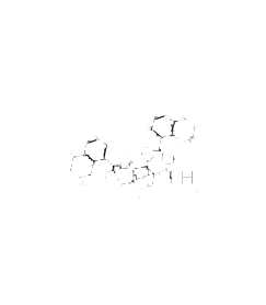 CC12CCC(CP)(CC1)C(OC(=O)c1cccc3c1CCCC3)C2OC(=O)c1cccc2c1CCCC2